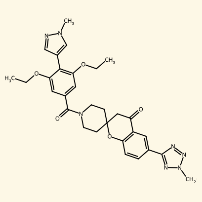 [CH2]n1nnc(-c2ccc3c(c2)C(=O)CC2(CCN(C(=O)c4cc(OCC)c(-c5cnn(C)c5)c(OCC)c4)CC2)O3)n1